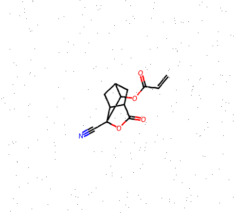 C=CC(=O)OC1C2CC3C(=O)OC1(C#N)C3C2